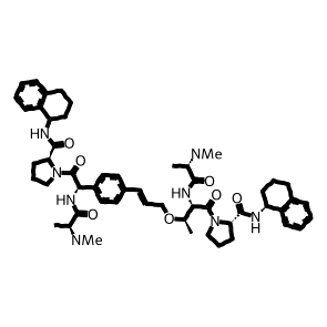 CN[C@@H](C)C(=O)N[C@H](C(=O)N1CCC[C@H]1C(=O)NC1CCCc2ccccc21)c1ccc(C=CCO[C@H](C)[C@H](NC(=O)[C@H](C)NC)C(=O)N2CCC[C@H]2C(=O)N[C@@H]2CCCc3ccccc32)cc1